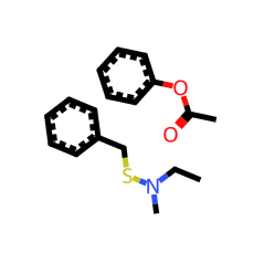 CC(=O)Oc1ccccc1.CCN(C)SCc1ccccc1